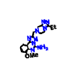 CCc1nnc2n1CCN(Cc1nc3c4cccc(OC)c4nc(N)n3n1)C2